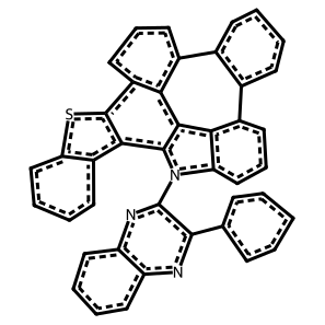 c1ccc(-c2nc3ccccc3nc2-n2c3cccc4c3c3c5c(cccc5c5sc6ccccc6c5c32)-c2ccccc2-4)cc1